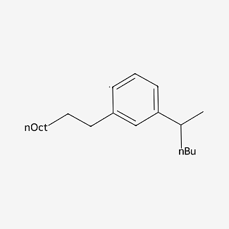 CCCCCCCCCCc1[c]ccc(C(C)CCCC)c1